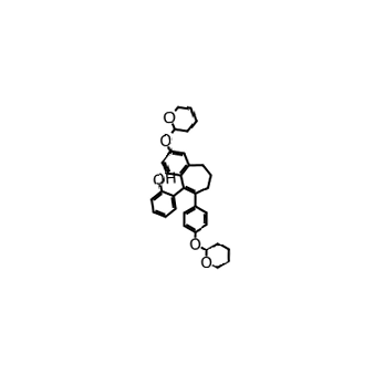 Oc1ccccc1C1=C(c2ccc(OC3CCCCO3)cc2)CCCc2cc(OC3CCCCO3)ccc21